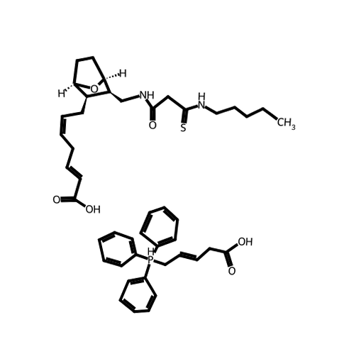 CCCCCNC(=S)CC(=O)NC[C@H]1[C@@H](C/C=C\C/C=C/C(=O)O)[C@H]2CC[C@@H]1O2.O=C(O)CC=CC[PH](c1ccccc1)(c1ccccc1)c1ccccc1